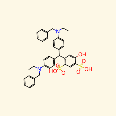 CCN(Cc1ccccc1)c1ccc(C(c2ccc(N(CC)Cc3ccccc3)cc2)c2cc(O)c(S(=O)(=O)O)cc2S(=O)(=O)O)cc1